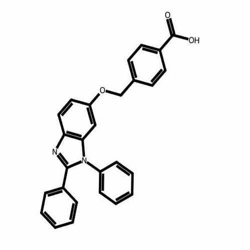 O=C(O)c1ccc(COc2ccc3nc(-c4ccccc4)n(-c4ccccc4)c3c2)cc1